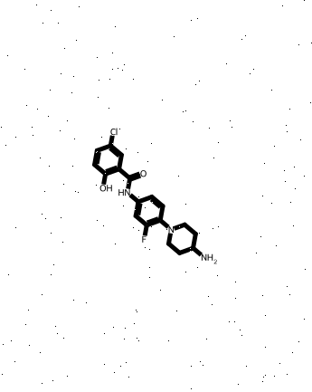 NC1CCN(c2ccc(NC(=O)c3cc(Cl)ccc3O)cc2F)CC1